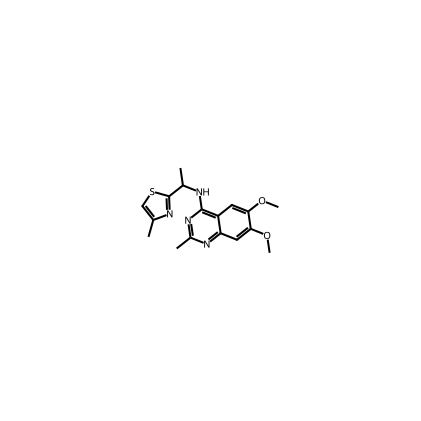 COc1cc2nc(C)nc(NC(C)c3nc(C)cs3)c2cc1OC